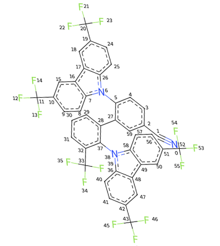 N#Cc1ccc(-n2c3ccc(C(F)(F)F)cc3c3cc(C(F)(F)F)ccc32)c(-c2cccc(C(F)(F)F)c2-n2c3ccc(C(F)(F)F)cc3c3cc(C(F)(F)F)ccc32)c1